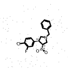 O=[N+]([O-])[C@@H]1CN(Cc2ccccc2)C[C@@H]1c1ccc(Cl)c(F)c1